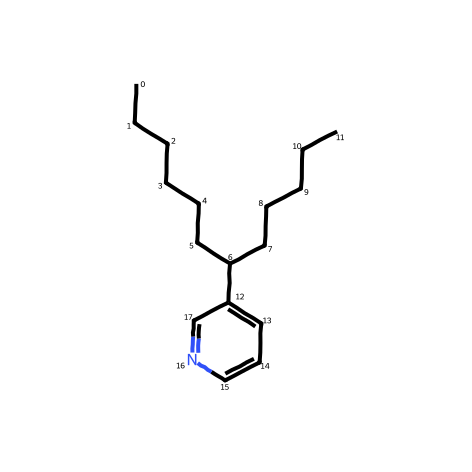 CCCCCCC(CCCCC)c1cccnc1